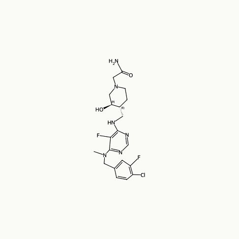 CN(Cc1ccc(Cl)c(F)c1)c1ncnc(NC[C@H]2CCN(CC(N)=O)C[C@@H]2O)c1F